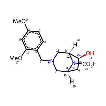 COc1ccc(CN2C[C@@H]3C[C@H](O)[C@H](C2)N3C(=O)O)c(OC)c1